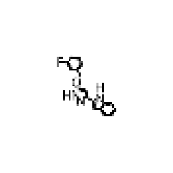 Fc1cccc(COc2cc(-c3cc4ccccc4[nH]3)n[nH]2)c1